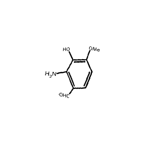 COc1ccc([C]=O)c(N)c1O